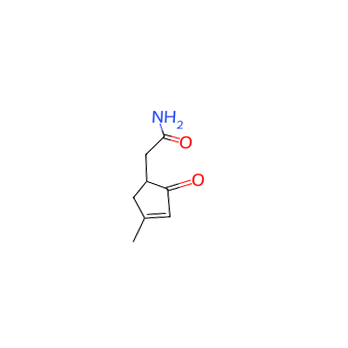 CC1=CC(=O)C(CC(N)=O)C1